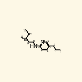 CCCc1ccc(NCCC(C)CC)nc1